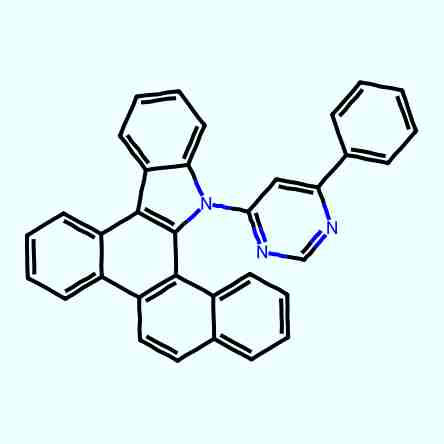 c1ccc(-c2cc(-n3c4ccccc4c4c5ccccc5c5ccc6ccccc6c5c43)ncn2)cc1